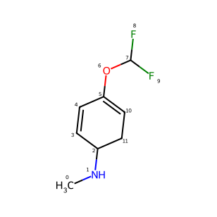 CNC1C=CC(OC(F)F)=CC1